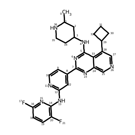 CC1CC(Nc2nc(-c3ccnc(Nc4nc(F)ccc4F)c3)nc3cncc(C4CCC4)c23)CCN1